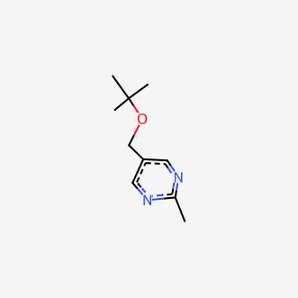 Cc1ncc(COC(C)(C)C)cn1